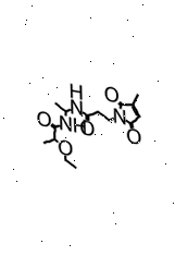 CCOC(C)C(=O)NC(C)NC(=O)CCN1C(=O)C=C(C)C1=O